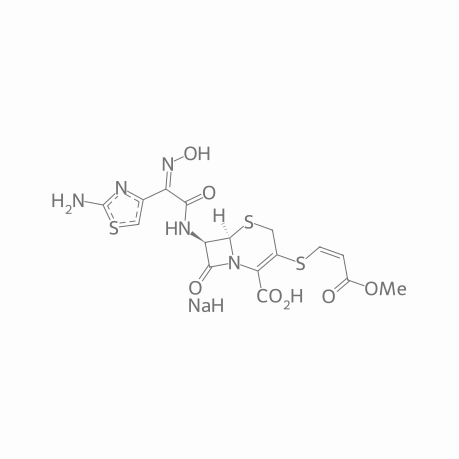 COC(=O)/C=C\SC1=C(C(=O)O)N2C(=O)[C@@H](NC(=O)/C(=N\O)c3csc(N)n3)[C@H]2SC1.[NaH]